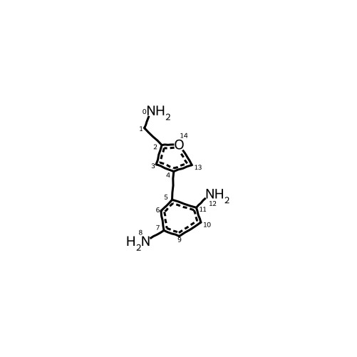 NCc1cc(-c2cc(N)ccc2N)co1